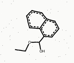 CCOC(O)c1cccc2ccccc12